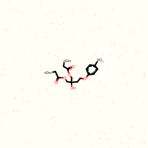 CCCCCCCCCCCC(=O)OCC(O)(CCOc1ccc([N+](=O)[O-])cc1)COC(=O)CCCCCCCCCCC